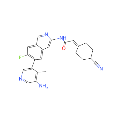 Cc1c(N)cncc1-c1cc2cc(NC(=O)C=C3CCC(C#N)CC3)ncc2cc1F